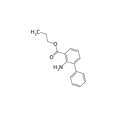 CCCOC(=O)c1cccc(-c2ccccc2)c1N